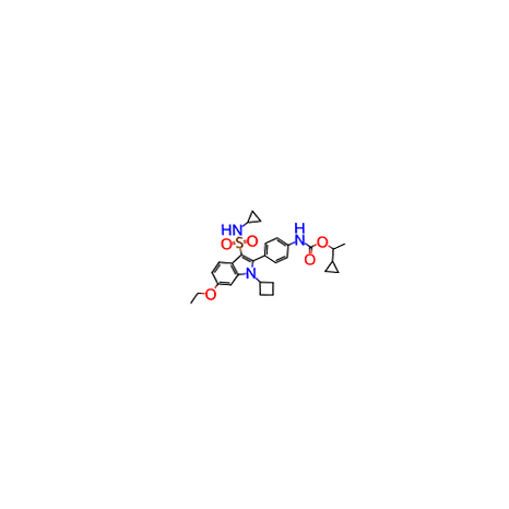 CCOc1ccc2c(S(=O)(=O)NC3CC3)c(-c3ccc(NC(=O)OC(C)C4CC4)cc3)n(C3CCC3)c2c1